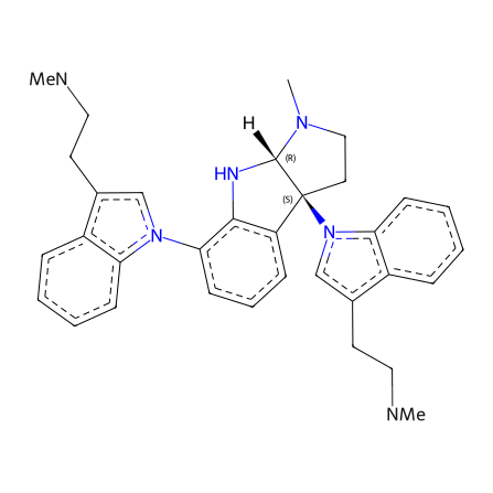 CNCCc1cn(-c2cccc3c2N[C@@H]2N(C)CC[C@]32n2cc(CCNC)c3ccccc32)c2ccccc12